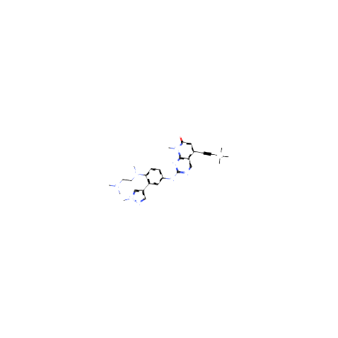 CN(C)CCN(C)c1ccc(Nc2ncc3c(C#C[Si](C)(C)C)cc(=O)n(C)c3n2)cc1-c1cnn(C)c1